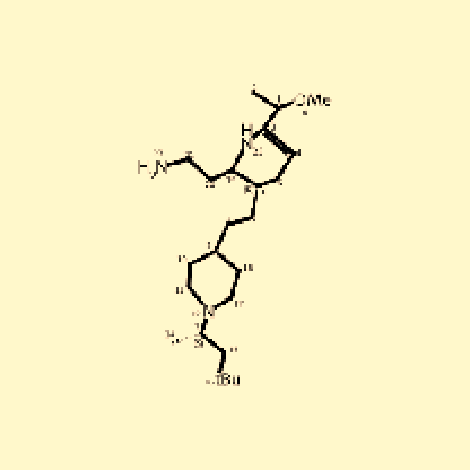 COC(C)C1=CC[C@@H](CCC2CCN([C@@H](C)CC(C)(C)C)CC2)C(CCN)N1